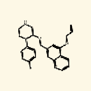 C=CCOc1cc(COC2CNCCC2c2ccc(F)cc2)cc2ccccc12